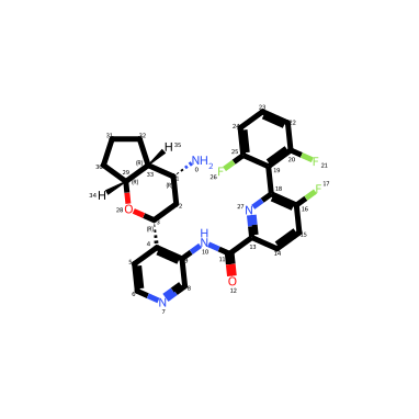 N[C@@H]1C[C@H](c2ccncc2NC(=O)c2ccc(F)c(-c3c(F)cccc3F)n2)O[C@@H]2CCC[C@H]12